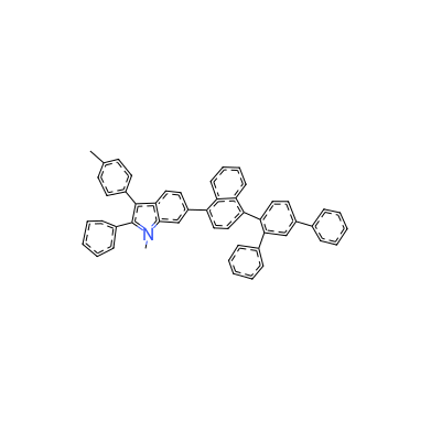 Cc1ccc(-c2c(-c3ccccc3)n(C)c3cc(-c4ccc(-c5ccc(-c6ccccc6)cc5-c5ccccc5)c5ccccc45)ccc23)cc1